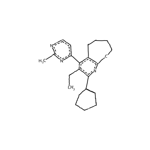 CCc1c(C2CCCCC2)nc2c(c1-c1ccnc(C)n1)CCCCC2